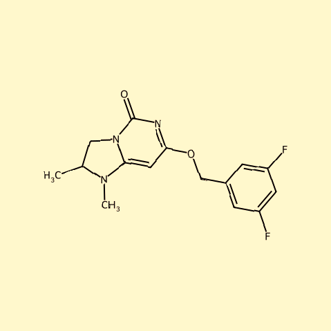 CC1Cn2c(cc(OCc3cc(F)cc(F)c3)nc2=O)N1C